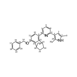 Cc1cc(-c2cccc(-c3ccc(OCc4ccccc4)c4c3C3CCC4C3)n2)c(C)[nH]1